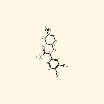 CC(=O)[C@H](CN1CCC(O)CC1)c1ccc(Cl)c(F)c1